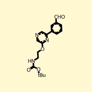 CC(C)(C)OC(=O)NCCOc1cncc(-c2cccc(C=O)c2)n1